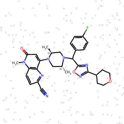 C[C@@H]1CN(c2cc(=O)n(C)c3ccc(C#N)nc23)[C@@H](C)CN1C(c1ccc(F)cc1)c1nc(C2CCOCC2)no1